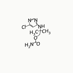 CC(C)(COC(N)=O)Nc1cc(Cl)ncn1